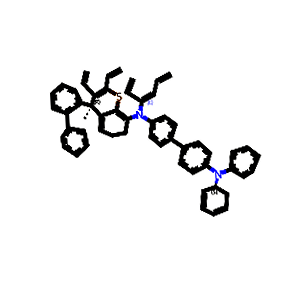 C=C/C=C(\C=C)N(C1=C2SC(C=C)=C(C=C)[C@](C)(c3ccccc3-c3ccccc3)C2=CCC1)c1ccc(-c2ccc(N(c3ccccc3)[C@@H]3C=CC=CC3)cc2)cc1